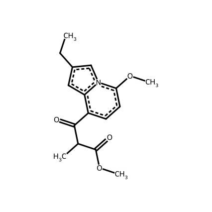 CCc1cc2c(C(=O)C(C)C(=O)OC)ccc(OC)n2c1